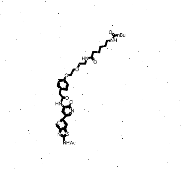 CCCCC(=O)NCCCCCC(=O)NCCOCCOc1ccc(CC(=O)Nc2cc(-c3ccc4nc(NC(C)=O)sc4c3)cnc2Cl)cc1